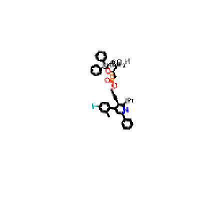 Cc1cc(F)ccc1-c1cc(-c2ccccc2)nc(C(C)C)c1C#CCO[PH](=O)CC(CC(=O)O)O[Si](c1ccccc1)(c1ccccc1)C(C)(C)C